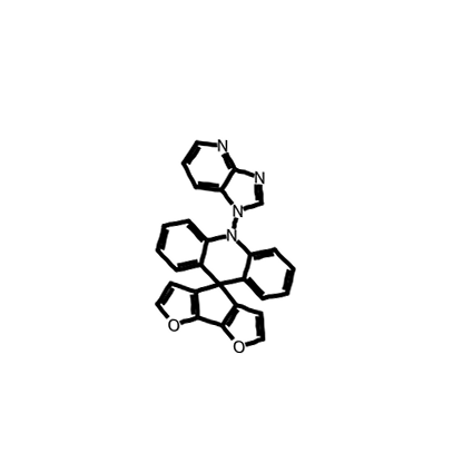 c1ccc2c(c1)N(n1cnc3ncccc31)c1ccccc1C21c2ccoc2-c2occc21